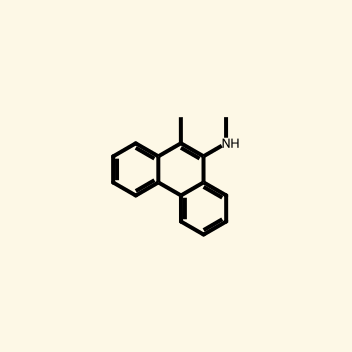 CNc1c(C)c2ccccc2c2ccccc12